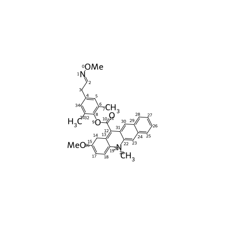 CON=CCc1cc(C)c(OC(=O)C2=C3CC(OC)=CC=C3N(C)c3cc4ccccc4cc32)c(C)c1